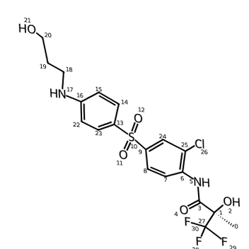 C[C@@](O)(C(=O)Nc1ccc(S(=O)(=O)c2ccc(NCCCO)cc2)cc1Cl)C(F)(F)F